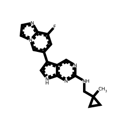 CC1(CNc2ncc3c(-c4cc(F)c5nccn5c4)c[nH]c3n2)CC1